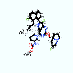 CC(C)(C)OC(=O)N[C@@H]1CCCN(c2nc(OC[C@@]34CCCN3C[C@H](F)C4)nc3c(F)c(-c4cccc5ccc(F)c(CCCC(=O)O)c45)ncc23)C1